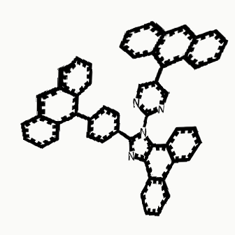 c1ccc2c(-c3ccc(-c4nc5c6ccccc6c6ccccc6c5n4-c4ncc(-c5c6ccccc6cc6ccccc56)cn4)cc3)c3ccccc3cc2c1